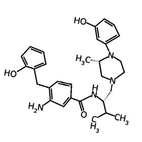 CC(C)[C@@H](CN1CCN(c2cccc(O)c2)[C@@H](C)C1)NC(=O)c1ccc(Cc2ccccc2O)c(N)c1